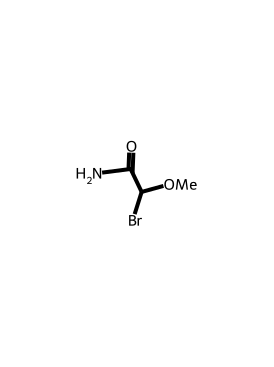 COC(Br)C(N)=O